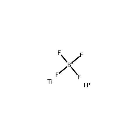 F[B-](F)(F)F.[H+].[Ti]